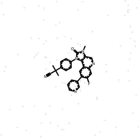 Cn1c(=O)n(-c2ccc(C(C)(C)C#N)cc2)c2c3cc(-c4cccnc4)c(F)cc3ncc21